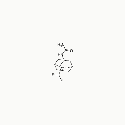 CC(=O)NC12CC3CC(CC(C(F)F)C(C3)C1)C2